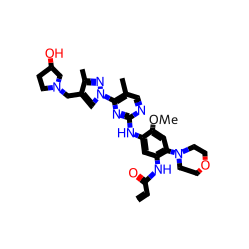 C=CC(=O)Nc1cc(Nc2ncc(C)c(-n3cc(CN4CCC(O)C4)c(C)n3)n2)c(OC)cc1N1CCOCC1